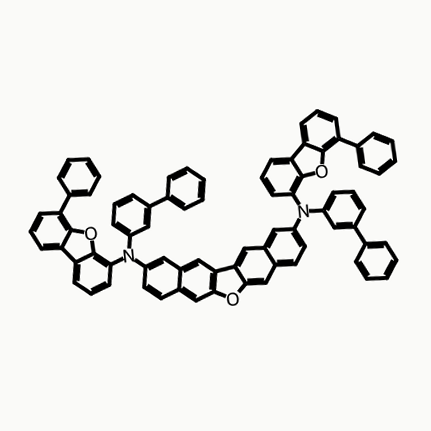 c1ccc(-c2cccc(N(c3ccc4cc5oc6cc7ccc(N(c8cccc(-c9ccccc9)c8)c8cccc9c8oc8c(-c%10ccccc%10)cccc89)cc7cc6c5cc4c3)c3cccc4c3oc3c(-c5ccccc5)cccc34)c2)cc1